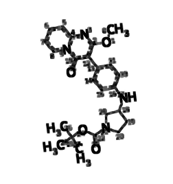 COc1nc2ccccn2c(=O)c1-c1ccc(NC2CCN(C(=O)OC(C)(C)C)C2)cc1